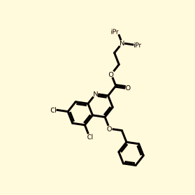 CC(C)N(CCOC(=O)c1cc(OCc2ccccc2)c2c(Cl)cc(Cl)cc2n1)C(C)C